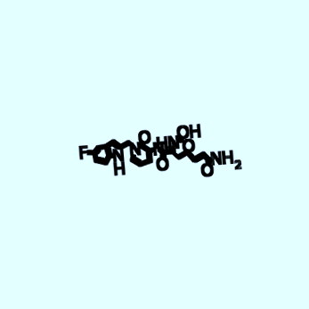 NC(=O)/C=C/CC[C@H](NC(=O)O)C(=O)Nc1cccn(Cc2cc3cc(F)ccc3[nH]2)c1=O